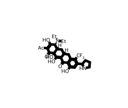 CCN(CC)[C@@H]1C(O)=C(C(C)=O)C(=O)[C@@]2(O)C(O)=C3C(=O)c4c(O)cc(C5CCCN5)c(C(F)(F)F)c4C[C@H]3C[C@@H]12